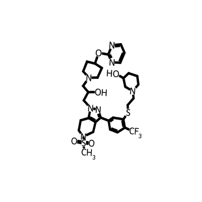 CS(=O)(=O)N1CCc2c(c(-c3ccc(C(F)(F)F)c(SCCN4CCCC(O)C4)c3)nn2CC(O)CN2CCC(Oc3ncccn3)CC2)C1